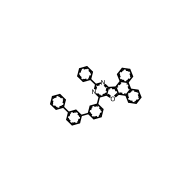 c1ccc(-c2cccc(-c3cccc(-c4nc(-c5ccccc5)nc5c4oc4c6ccccc6c6ccccc6c54)c3)c2)cc1